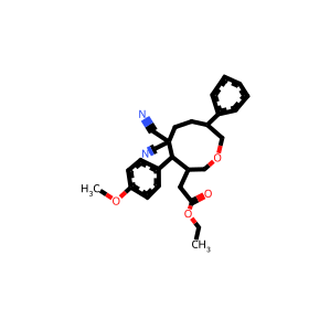 CCOC(=O)CC1COCC(c2ccccc2)CCC(C#N)(C#N)C1c1ccc(OC)cc1